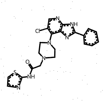 O=C(CN1CCN(c2c(Cl)cnc3[nH]c(-c4ccccc4)nc23)CC1)Nc1nccs1